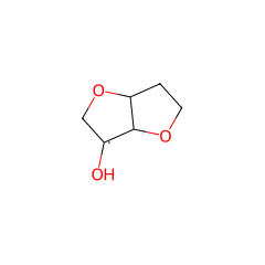 O[C]1COC2CCOC12